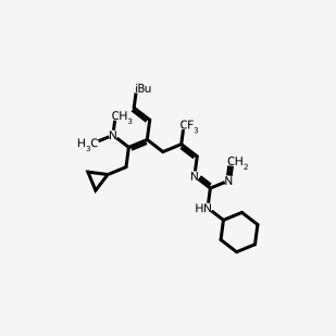 C=N/C(=N\C=C(/CC(/C=C/C(C)CC)=C(\CC1CC1)N(C)C)C(F)(F)F)NC1CCCCC1